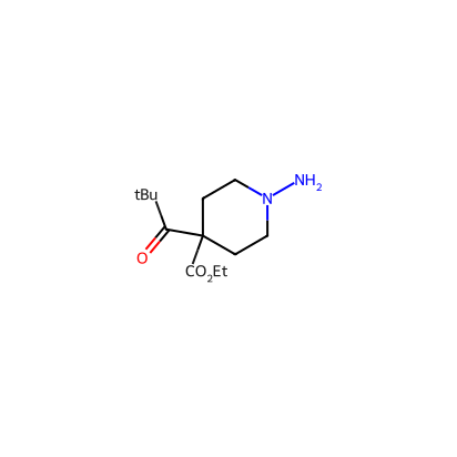 CCOC(=O)C1(C(=O)C(C)(C)C)CCN(N)CC1